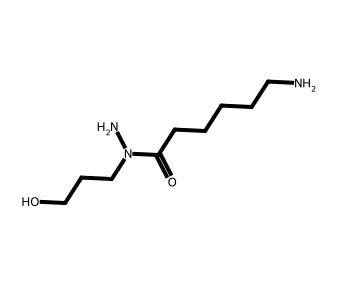 NCCCCCC(=O)N(N)CCCO